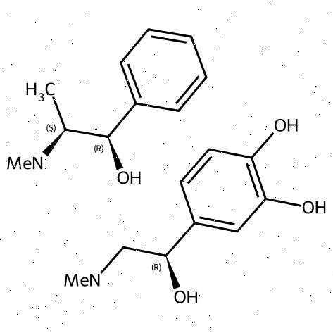 CNC[C@H](O)c1ccc(O)c(O)c1.CN[C@@H](C)[C@H](O)c1ccccc1